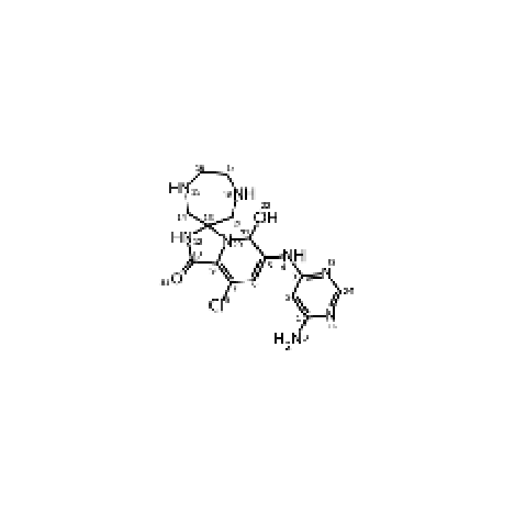 Nc1cc(NC2=CC(Cl)=C3C(=O)NC4(CNCCNC4)N3C2O)ncn1